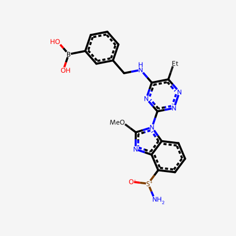 CCc1nnc(-n2c(OC)nc3c([S+](N)[O-])cccc32)nc1NCc1cccc(B(O)O)c1